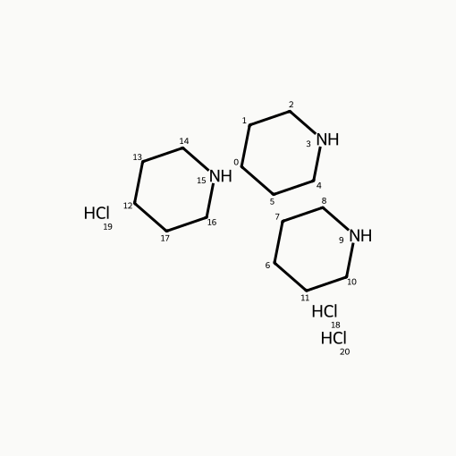 C1CCNCC1.C1CCNCC1.C1CCNCC1.Cl.Cl.Cl